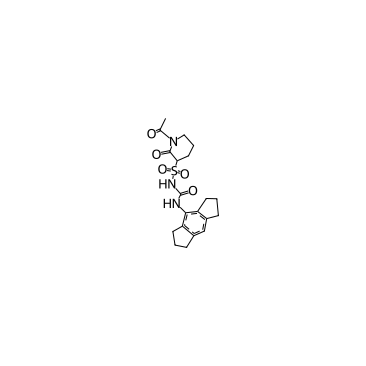 CC(=O)N1CCCC(S(=O)(=O)NC(=O)Nc2c3c(cc4c2CCC4)CCC3)C1=O